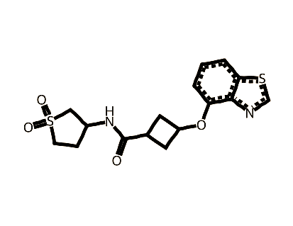 O=C(NC1CCS(=O)(=O)C1)C1CC(Oc2cccc3scnc23)C1